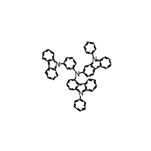 c1ccc(-n2c3ccccc3c3ccc(N(c4cccc(-n5c6ccccc6c6ccccc65)c4)c4cccc5c4c4ccccc4n5-c4ccccc4)cc32)cc1